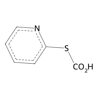 O=C(O)Sc1ccccn1